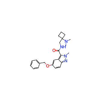 CN(C)C1(CNC(=O)c2c3cc(OCc4ccccc4)ccc3nn2C)CCC1